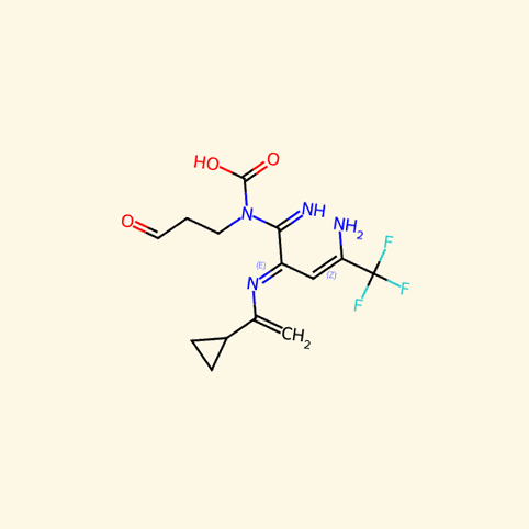 C=C(/N=C(\C=C(/N)C(F)(F)F)C(=N)N(CCC=O)C(=O)O)C1CC1